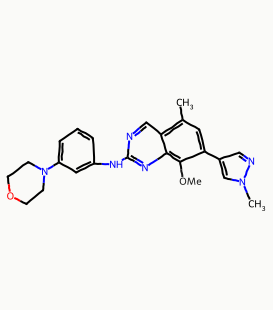 COc1c(-c2cnn(C)c2)cc(C)c2cnc(Nc3cccc(N4CCOCC4)c3)nc12